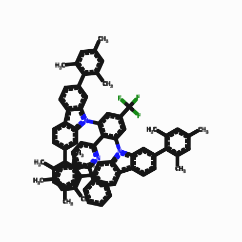 Cc1cc(C)c(-c2ccc3c4ccc(-c5c(C)cc(C)cc5C)cc4n(-c4cc(C(F)(F)F)cc(-n5c6cc(-c7c(C)cc(C)cc7C)ccc6c6ccc(-c7c(C)cc(C)cc7C)cc65)c4-c4cccc(-c5ccccc5)n4)c3c2)c(C)c1